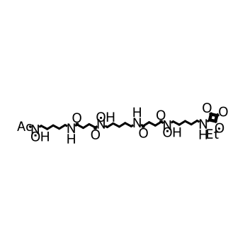 CCOc1c(NCCCCCN(O)C(=O)CCC(=O)NCCCCCN(O)C(=O)CCC(=O)NCCCCCN(O)C(C)=O)c(=O)c1=O